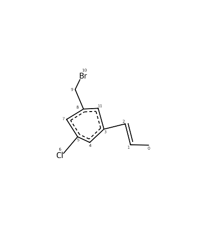 C/C=C/c1cc(Cl)cc(CBr)c1